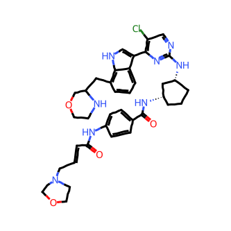 O=C(/C=C/CN1CCOCC1)Nc1ccc(C(=O)N[C@H]2CCC[C@@H](Nc3ncc(Cl)c(-c4c[nH]c5c(CC6COCCN6)cccc45)n3)C2)cc1